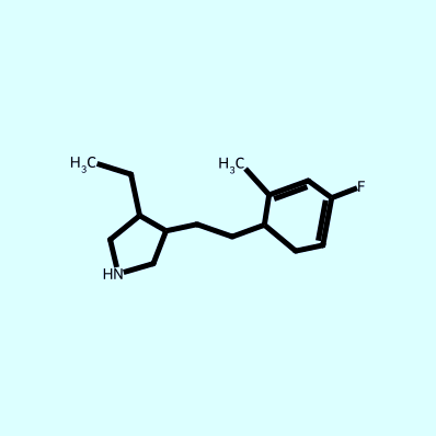 CCC1CNCC1CCC1CC=C(F)C=C1C